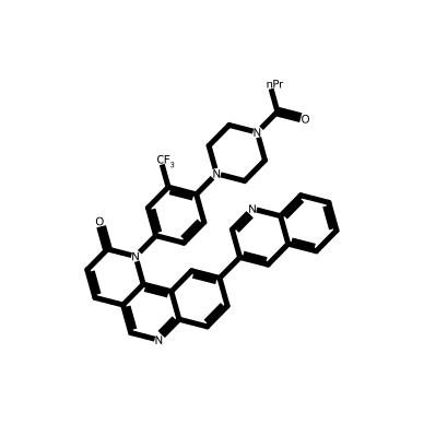 CCCC(=O)N1CCN(c2ccc(-n3c(=O)ccc4cnc5ccc(-c6cnc7ccccc7c6)cc5c43)cc2C(F)(F)F)CC1